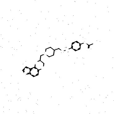 CC(=O)Nc1ccc(S(=O)(=O)NCC2CCN(CC3COc4ccc5[nH]ccc5c4O3)CC2)cc1